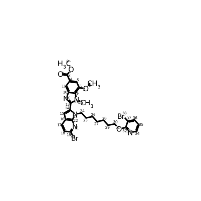 COC(=O)c1cc(OC)c2c(c1)nc(-c1cc3ccc(Br)nc3n1CCCCCCCOc1ncccc1Br)n2C